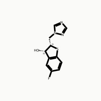 O[C@H]1c2cc(F)ccc2S[C@H]1Cn1cncn1